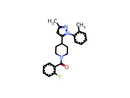 Cc1cc(C2CCN(C(=O)c3ccccc3F)CC2)n(-c2ccccc2C)n1